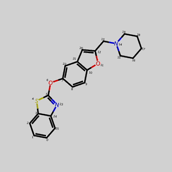 c1ccc2sc(Oc3ccc4oc(CN5CCCCC5)cc4c3)nc2c1